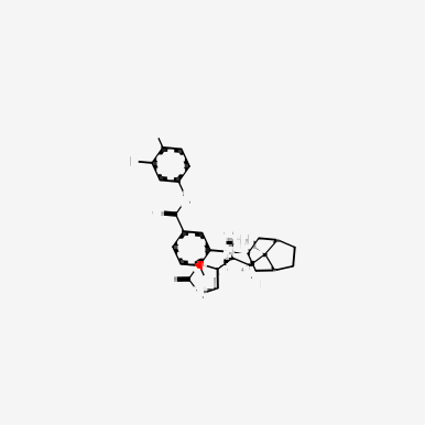 O=C1NCC([C@H](O)[C@@H](O)[C@]2(O)C3CCC2C[C@@H](S(=O)(=O)c2cc(C(=O)Nc4ccc(F)c(F)c4)ccc2Cl)C3)O1